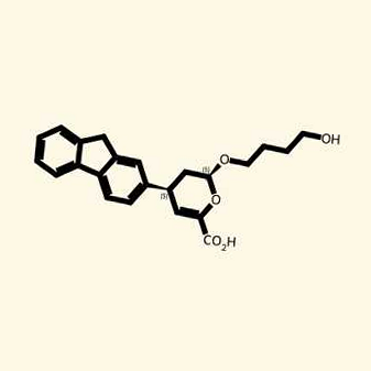 O=C(O)C1=C[C@@H](c2ccc3c(c2)Cc2ccccc2-3)C[C@@H](OCCCCO)O1